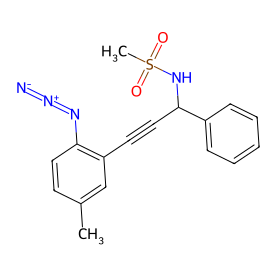 Cc1ccc(N=[N+]=[N-])c(C#CC(NS(C)(=O)=O)c2ccccc2)c1